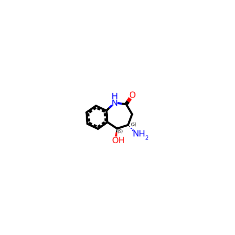 N[C@H]1CC(=O)Nc2ccccc2[C@@H]1O